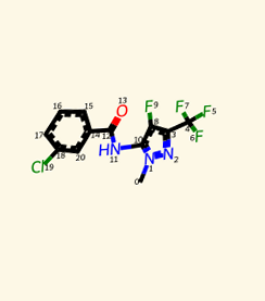 Cn1nc(C(F)(F)F)c(F)c1NC(=O)c1cccc(Cl)c1